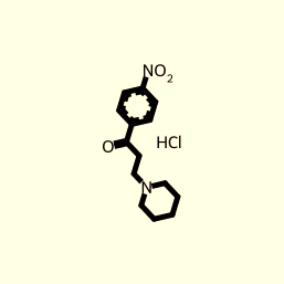 Cl.O=C(CCN1CCCCC1)c1ccc([N+](=O)[O-])cc1